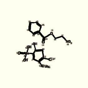 CC(=O)Nc1cc([As](=O)(O)O)c(O)cc1Cl.O=C(OCC[N+](=O)[O-])c1ccccc1